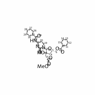 COOSO[C@H]1[C@@H](COC(=O)c2ccccc2)O[C@@H](n2ccc(NC(=O)c3ccccc3)nc2=O)C1(C)O